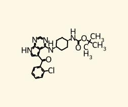 CC(C)(C)OC(=O)N[C@H]1CC[C@@H](Nc2ncnc3[nH]cc(C(=O)c4ccccc4Cl)c23)CC1